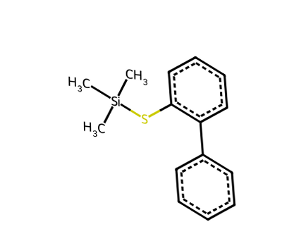 C[Si](C)(C)Sc1ccccc1-c1ccccc1